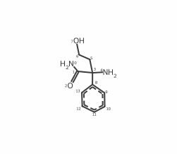 NC(=O)C(N)(CCO)c1ccccc1